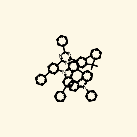 CC1(C)c2ccccc2-c2cc(-c3nc(-c4ccccc4)nc(-c4ccc(-c5ccccc5)cc4-n4c5cc(-c6ccccc6)ccc5c5c(-c6cccc7c6c6ccccc6n7-c6ccccc6)cccc54)n3)ccc21